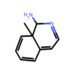 CC12C=CC=CC1=CC=NC2N